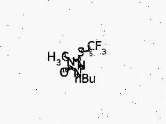 CCCCn1nc(SCC(F)(F)F)n(C)c1=O